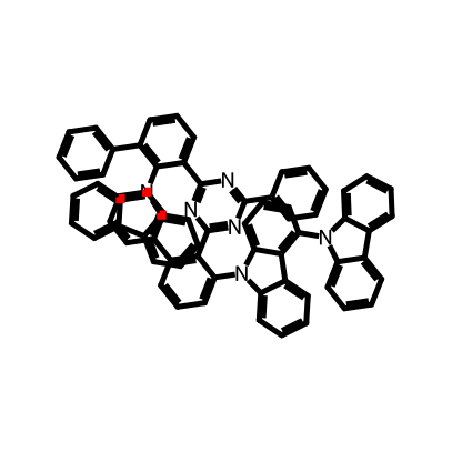 c1ccc(-c2nc(-c3cccc(-c4ccccc4)c3-n3c4ccccc4c4ccccc43)nc(-c3c(-c4ccccc4)cccc3-n3c4ccccc4c4c(-n5c6ccccc6c6ccccc65)cccc43)n2)cc1